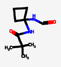 CC(C)(C)C(=O)NC1(NC=O)CCC1